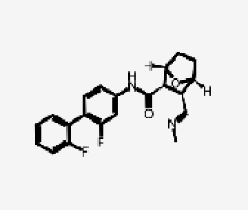 CN=C[C@H]1[C@@H](C(=O)Nc2ccc(-c3ccccc3F)c(F)c2)[C@@H]2CC[C@H]1O2